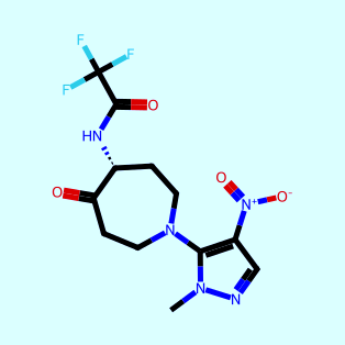 Cn1ncc([N+](=O)[O-])c1N1CCC(=O)[C@H](NC(=O)C(F)(F)F)CC1